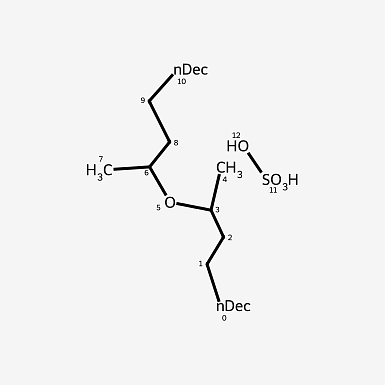 CCCCCCCCCCCCC(C)OC(C)CCCCCCCCCCCC.O=S(=O)(O)O